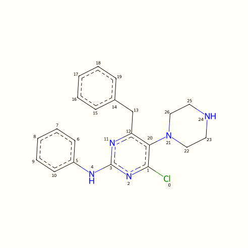 Clc1nc(Nc2ccccc2)nc(Cc2ccccc2)c1N1CCNCC1